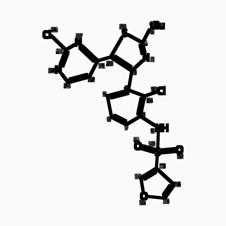 CC(C)(C)c1nc(-c2cccc(NS(=O)(=O)c3ccoc3)c2Cl)c(-c2ccnc(Cl)n2)s1